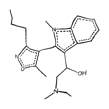 CCCc1noc(C)c1-c1c(C(O)CN(C)C)c2ccccc2n1C